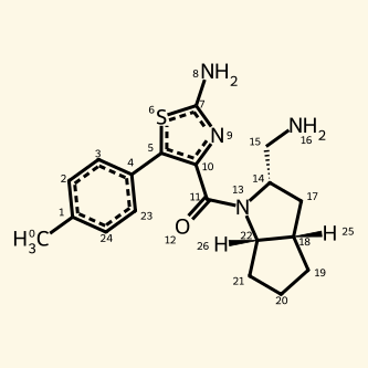 Cc1ccc(-c2sc(N)nc2C(=O)N2[C@H](CN)C[C@@H]3CCC[C@@H]32)cc1